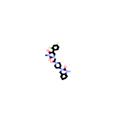 Cn1c(=O)c(-c2ccc(F)cc2F)cn(CC(=O)N2CCC(N3Cc4ccccc4NC3=O)CC2)c1=O